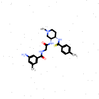 CCCN1CC[C@H](NC(=S)c2ccc(C)cc2)[C@H](NC(=O)CNC(=O)c2cc(N)cc(C(F)(F)F)c2)C1